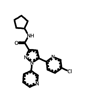 O=C(NC1CCCC1)c1cc(-c2ccc(Cl)cn2)n(-c2cccnc2)n1